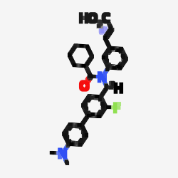 [2H]C(c1ccc(-c2ccc(N(C)C)cc2)cc1F)N(C(=O)C1CCCCC1)c1cccc(/C=C/C(=O)O)c1